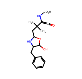 CC(C)(CC1NC(Cc2ccccc2)C(O)O1)C(=C=O)NC(=O)O